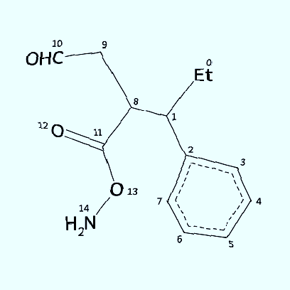 CCC(c1ccccc1)C(CC=O)C(=O)ON